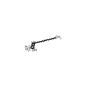 C=C(C(=O)O)C(C)c1ccc(NCCCCCCCCCCCCCCCCCC)cc1